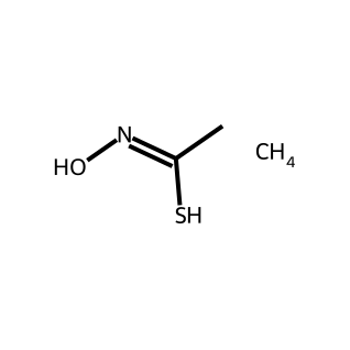 C.CC(S)=NO